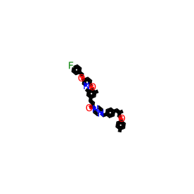 CC(=Cc1ccc(CN2CCN(C(=O)C=Cc3cc(C)c(Oc4ccc(OCc5ccc(F)cc5)cn4)c(C)c3)CC2)cc1)COc1ccc(C)cc1